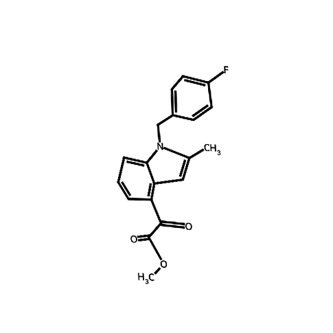 COC(=O)C(=O)c1cccc2c1cc(C)n2Cc1ccc(F)cc1